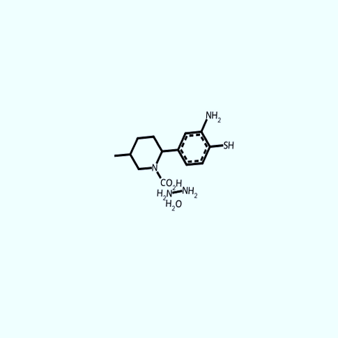 CC1CCC(c2ccc(S)c(N)c2)N(C(=O)O)C1.NN.O